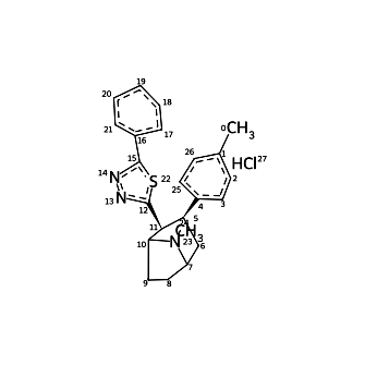 Cc1ccc([C@H]2CC3CCC([C@H]2c2nnc(-c4ccccc4)s2)N3C)cc1.Cl